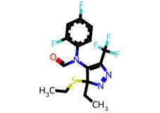 CCSC1(CC)N=NC(C(F)(F)F)=C1N(C=O)c1ccc(F)cc1F